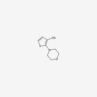 N#Cc1ccsc1N1CCOCC1